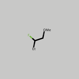 CCC(F)COC